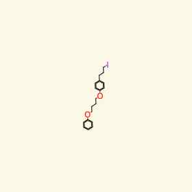 ICCCc1ccc(OCCCCOc2ccccc2)cc1